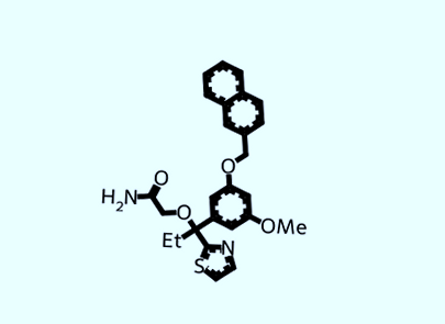 CCC(OCC(N)=O)(c1cc(OC)cc(OCc2ccc3ccccc3c2)c1)c1nccs1